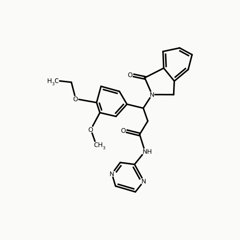 CCOc1ccc(C(CC(=O)Nc2cnccn2)N2Cc3ccccc3C2=O)cc1OC